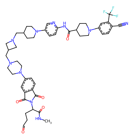 CNC(=O)C(CCC=O)N1C(=O)c2ccc(N3CCN(CC4CN(CC5CCN(c6ccc(NC(=O)C7CCN(c8ccc(C#N)c(C(F)(F)F)c8)CC7)nc6)CC5)C4)CC3)cc2C1=O